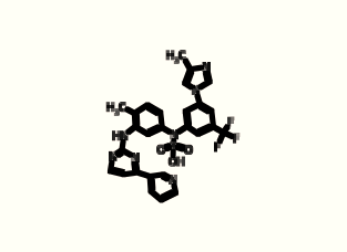 Cc1cn(-c2cc(N(c3ccc(C)c(Nc4nccc(-c5cccnc5)n4)c3)S(=O)(=O)O)cc(C(F)(F)F)c2)cn1